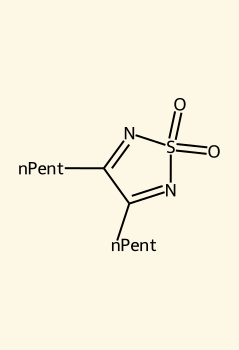 CCCCCC1=NS(=O)(=O)N=C1CCCCC